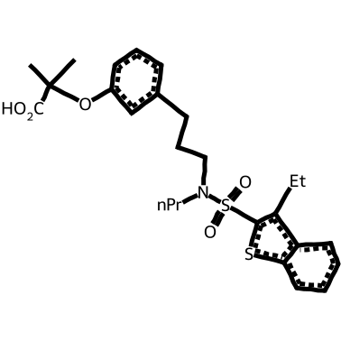 CCCN(CCCc1cccc(OC(C)(C)C(=O)O)c1)S(=O)(=O)c1sc2ccccc2c1CC